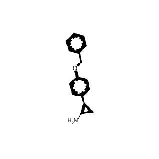 N[C@H]1C[C@@H]1c1ccc(OCc2ccccc2)cc1